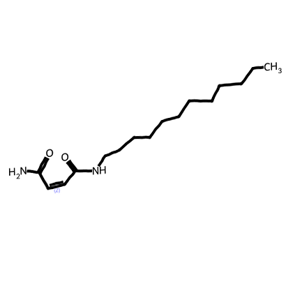 CCCCCCCCCCCCNC(=O)/C=C\C(N)=O